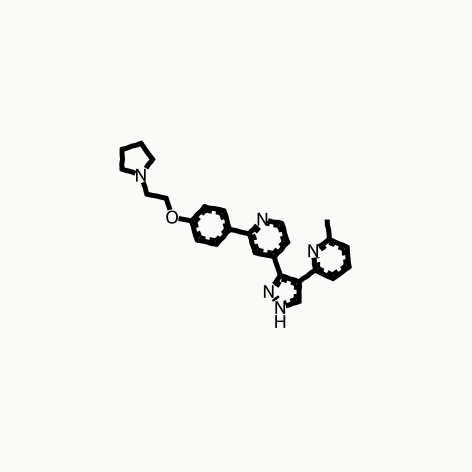 Cc1cccc(-c2c[nH]nc2-c2ccnc(-c3ccc(OCCN4CCCC4)cc3)c2)n1